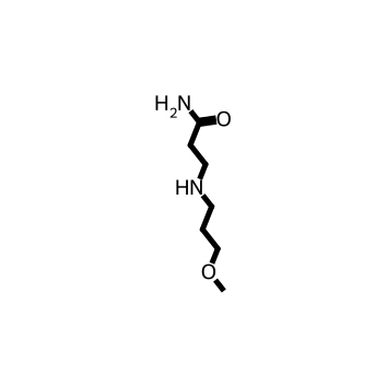 COCCCNCCC(N)=O